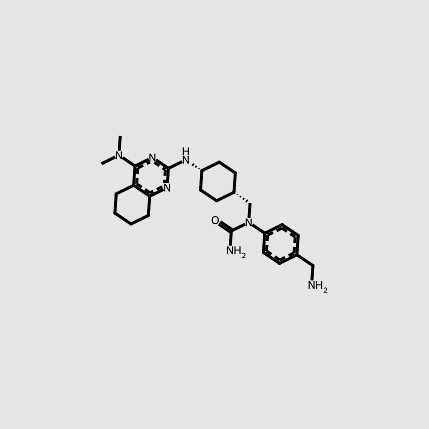 CN(C)c1nc(N[C@H]2CC[C@@H](CN(C(N)=O)c3ccc(CN)cc3)CC2)nc2c1CCCC2